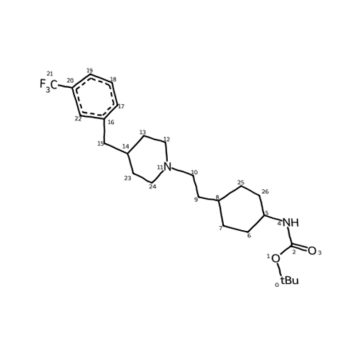 CC(C)(C)OC(=O)NC1CCC(CCN2CCC(Cc3cccc(C(F)(F)F)c3)CC2)CC1